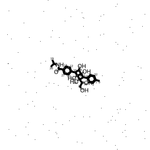 Cc1ccc(C2[C@]3(O)C(O)C(c4ccc(C(=O)NC(C)C)cc4)[C@]3(O)[C@]2(O)[C@H](O)CO)cc1